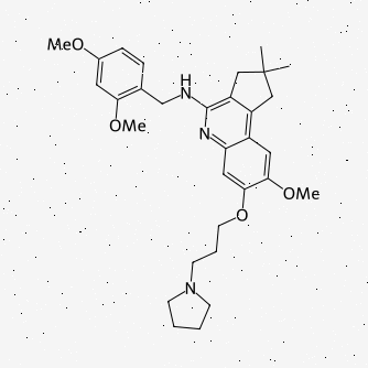 COc1ccc(CNc2nc3cc(OCCCN4CCCC4)c(OC)cc3c3c2CC(C)(C)C3)c(OC)c1